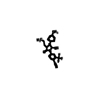 CCCC1C(=O)N(c2ccc(C#N)c(C(F)(F)F)c2)C(S)N1c1ccc(C)cc1